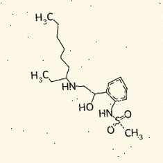 CCCCCCC(CC)NCC(O)c1ccccc1NS(C)(=O)=O